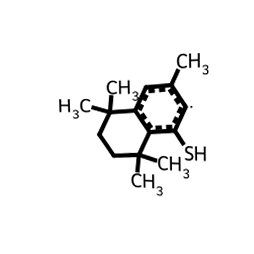 Cc1[c]c(S)c2c(c1)C(C)(C)CCC2(C)C